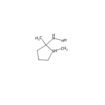 CCCNC1(C)CCC[SiH]1C